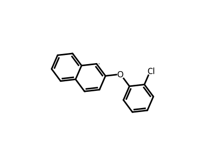 Clc1ccccc1Oc1[c]c2ccccc2cc1